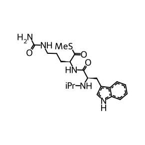 CSC(=O)[C@H](CCCNC(N)=O)NC(=O)[C@@H](Cc1c[nH]c2ccccc12)NC(C)C